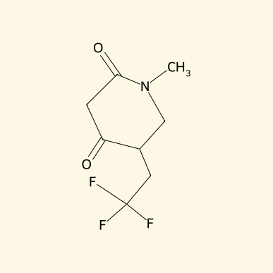 CN1CC(CC(F)(F)F)C(=O)CC1=O